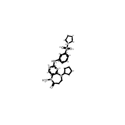 CN1C(=O)CCN(C2CCCC2)c2nc(Nc3cccc(S(=O)(=O)N4CCCC4)c3)ncc21